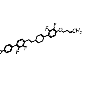 C=CCCOc1ccc(C2=CCC(CCc3ccc(-c4ccc(OCC)cc4)c(F)c3F)CC2)c(F)c1F